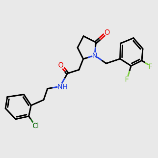 O=C(CC1CCC(=O)N1Cc1cccc(F)c1F)NCCc1ccccc1Cl